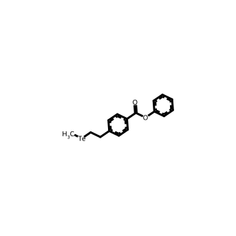 C[Te]CCc1ccc(C(=O)Oc2ccccc2)cc1